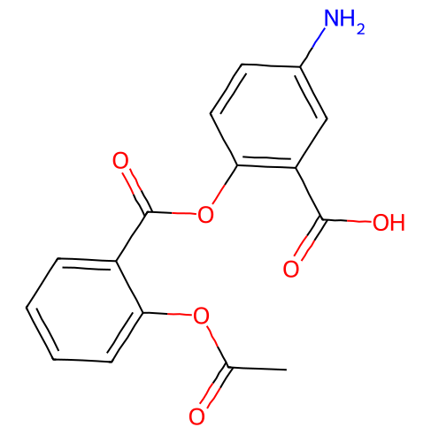 CC(=O)Oc1ccccc1C(=O)Oc1ccc(N)cc1C(=O)O